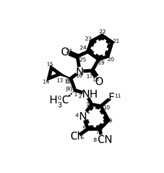 C[C@@H](Nc1nc(Cl)c(C#N)cc1F)[C@@H](C1CC1)N1C(=O)c2ccccc2C1=O